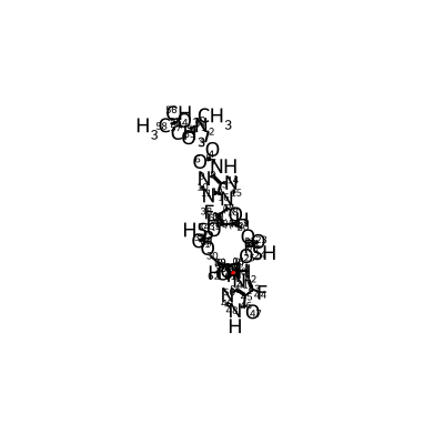 CN(CCOC(=O)Nc1ncnc2c1ncn2[C@@H]1O[C@@H]2CO[P@@](=O)(S)O[C@@H]3[C@H](O)[C@@H](CO[P@@](=O)(S)O[C@H]2[C@H]1F)O[C@H]3n1cc(F)c2c(=O)[nH]cnc21)C(=O)OC(C)(C)C